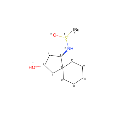 CC(C)(C)[S+]([O-])N[C@@H]1C[C@@H](O)CC12CCCCC2